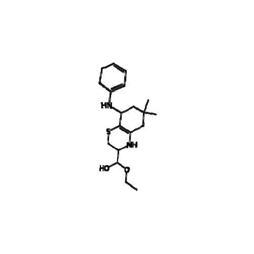 CCOC(O)C1CSC2=C(CC(C)(C)CC2NC2=CC=CCC2)N1